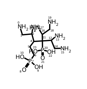 NCC(N)C(CCP(=O)(O)O)C(C(N)CN)(C(N)CN)P(=O)(O)O